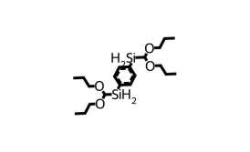 CCCOC(OCCC)[SiH2]c1ccc([SiH2]C(OCCC)OCCC)cc1